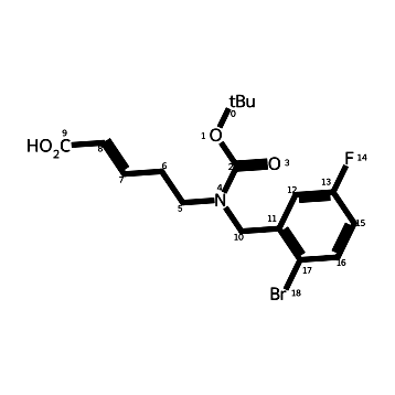 CC(C)(C)OC(=O)N(CC/C=C/C(=O)O)Cc1cc(F)ccc1Br